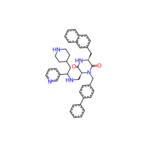 O=C1N[C@@H](Cc2ccc3ccccc3c2)C(=O)N(Cc2ccc(-c3ccccc3)cc2)[C@H]1CNC(CC1CCNCC1)c1cccnc1